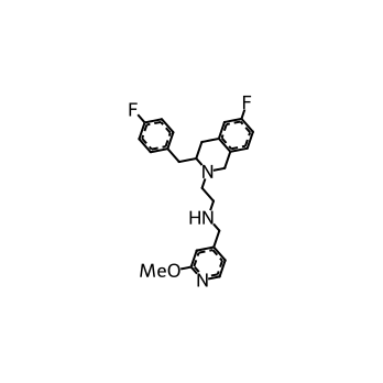 COc1cc(CNCCN2Cc3ccc(F)cc3CC2Cc2ccc(F)cc2)ccn1